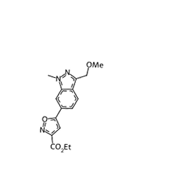 CCOC(=O)c1cc(-c2ccc3c(COC)nn(C)c3c2)on1